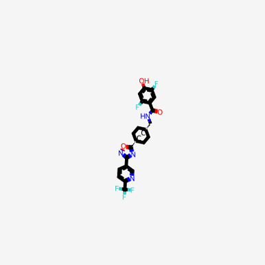 O=C(NC[C@]12CC[C@](c3nc(-c4ccc(C(F)(F)F)nc4)no3)(CC1)CC2)c1cc(F)c(O)cc1F